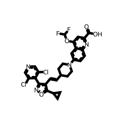 O=C(O)c1cc(OC(F)F)c2cc(N3CCC(C=Cc4c(-c5c(Cl)cncc5Cl)noc4C4CC4)CC3)ccc2n1